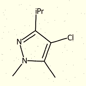 Cc1c(Cl)c(C(C)C)nn1C